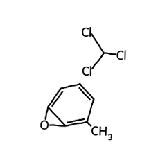 Cc1cccc2c1O2.ClC(Cl)Cl